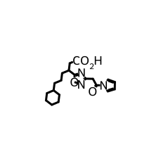 O=C(O)CC(CCCC1CCCCC1)c1nc(CC(=O)n2cccc2)no1